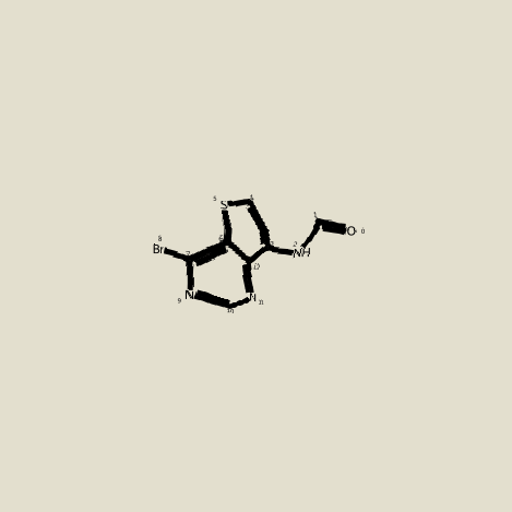 O=CNc1csc2c(Br)ncnc12